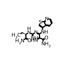 CC[C@@H](NC(=N)/N=C(/Nc1csc2ncccc12)C(=N)C(N)=O)C(N)=O